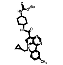 Cc1ccc(OCC2CC2)c(-c2ncnc3c(C(=O)NC4CCC(NC(=O)OC(C)(C)C)CC4)c[nH]c23)c1